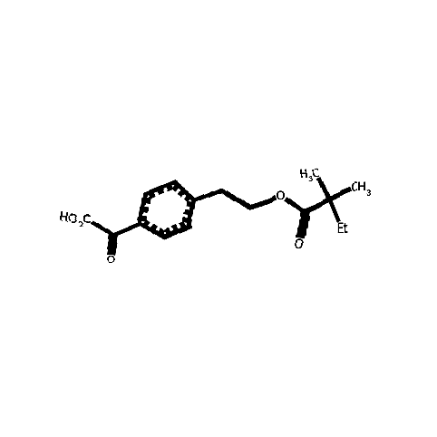 CCC(C)(C)C(=O)OCCc1ccc(C(=O)C(=O)O)cc1